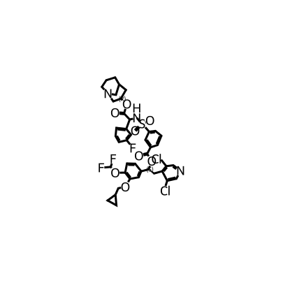 O=C(O[C@@H](Cc1c(Cl)cncc1Cl)c1ccc(OC(F)F)c(OCC2CC2)c1)c1cccc(S(=O)(=O)NC(C(=O)O[C@@H]2CC3CCCN(C3)C2)c2cccc(F)c2)c1